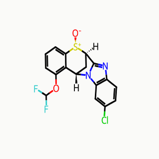 [O-][S@+]1c2cccc(OC(F)F)c2[C@@H]2C[C@@H]1c1nc3ccc(Cl)cc3n12